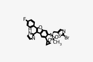 CS(=O)(=O)N(Cc1cnc(Br)s1)c1cc2oc(-c3ccc(F)cc3)c(-c3ncc[nH]3)c2cc1C1CC1